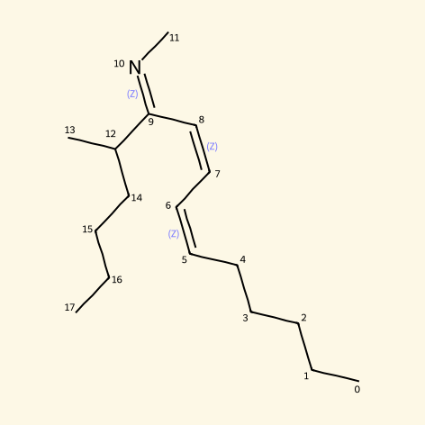 CCCCC\C=C/C=C\C(=N/C)C(C)CCCC